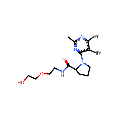 Cc1nc(C(C)C)c(C(C)C)c(N2CCCC2C(=O)NCCOCCO)n1